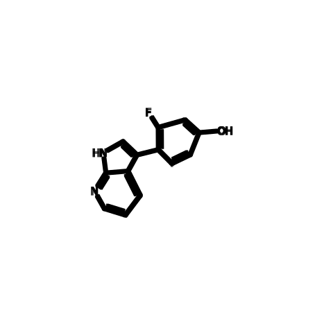 Oc1c[c]c(-c2c[nH]c3ncccc23)c(F)c1